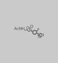 CC(=O)NCC1CN(c2ccc(-n3cncn3)c(F)c2)C(=O)O1